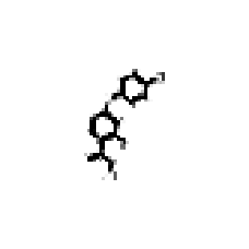 C=C(CCl)c1ccc(Oc2ccc(Cl)cc2)cc1C